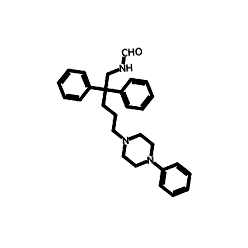 O=CNCC(CCCN1CCN(c2ccccc2)CC1)(c1ccccc1)c1ccccc1